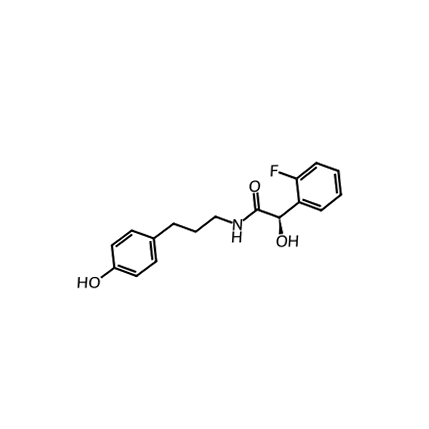 O=C(NCCCc1ccc(O)cc1)[C@H](O)c1ccccc1F